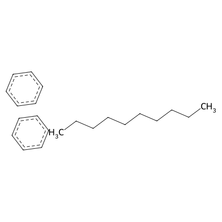 CCCCCCCCCC.c1ccccc1.c1ccccc1